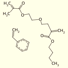 C=C(C)C(=O)OCCOCCC(=C)C(=O)OCCCC.C=Cc1ccccc1